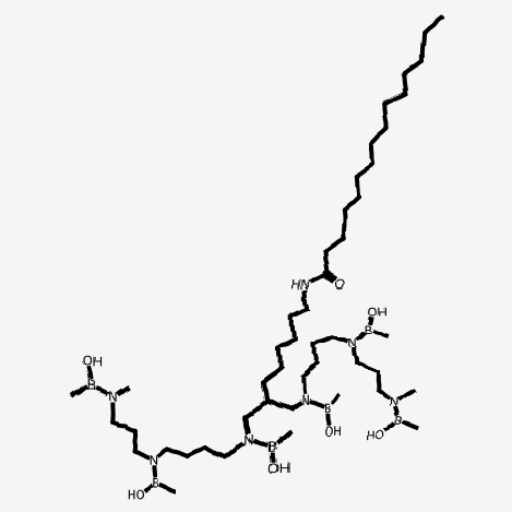 CCCCCCCCCCCCCCC(=O)NCCCCCCC(CN(CCCCN(CCCN(C)B(C)O)B(C)O)B(C)O)CN(CCCCN(CCCN(C)B(C)O)B(C)O)B(C)O